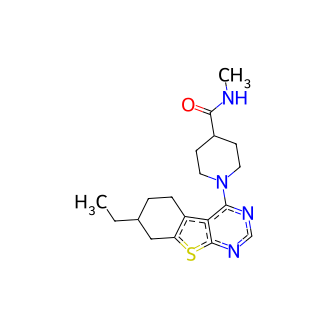 CCC1CCc2c(sc3ncnc(N4CCC(C(=O)NC)CC4)c23)C1